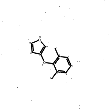 Cc1cccc(C)c1Oc1ccoc1